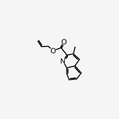 C=CCOC(=O)c1nc2ccccc2cc1C